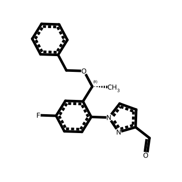 C[C@@H](OCc1ccccc1)c1cc(F)ccc1-n1ccc(C=O)n1